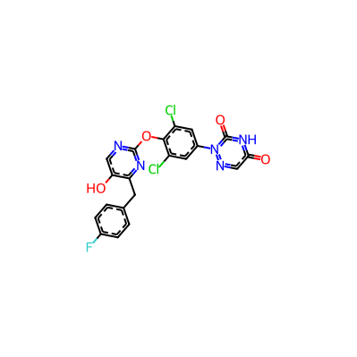 O=c1cnn(-c2cc(Cl)c(Oc3ncc(O)c(Cc4ccc(F)cc4)n3)c(Cl)c2)c(=O)[nH]1